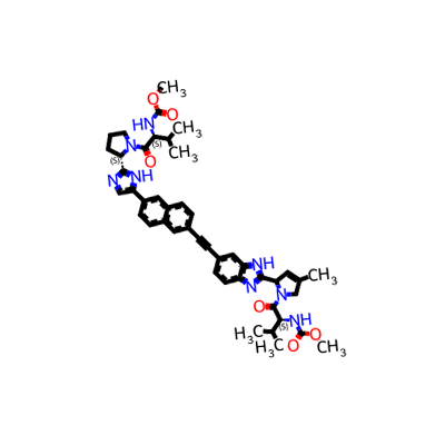 COC(=O)N[C@H](C(=O)N1CC(C)=CC1c1nc2ccc(C#Cc3ccc4cc(-c5cnc([C@@H]6CCCN6C(=O)[C@@H](NC(=O)OC)C(C)C)[nH]5)ccc4c3)cc2[nH]1)C(C)C